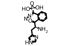 [N-]=[N+]=C(c1ccccc1C(=O)[C@@H](N)Cc1c[nH]cn1)P(=O)(O)O